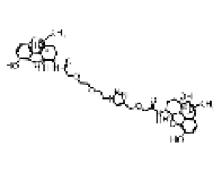 CN1CC[C@]23c4c5ccc(O)c4O[C@H]2[C@@H](NC(=O)COCc2cn(CCOCCOCC(=O)N[C@@H]4CC[C@@]6(O)C7Cc8ccc(O)c9c8[C@@]6(CCN7C)[C@H]4O9)nn2)CC[C@@]3(O)C1C5